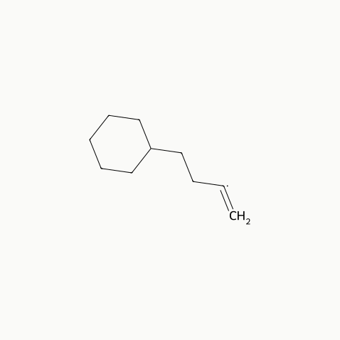 C=[C]CCC1CCCCC1